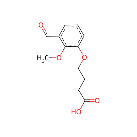 COc1c(C=O)cccc1OCCCC(=O)O